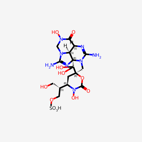 NC1=N[C@@]23[C@@H]4[C@H](N=C(N)N2C[C@]2(C[C@H]([C@@H](CO)COS(=O)(=O)O)N(O)C(=O)O2)C3(O)O)C(=O)N(O)CN14